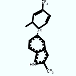 CC1C=C(C(F)(F)F)C=C[C@@H]1c1ccc2[nH]c(C(F)(F)F)cc2c1